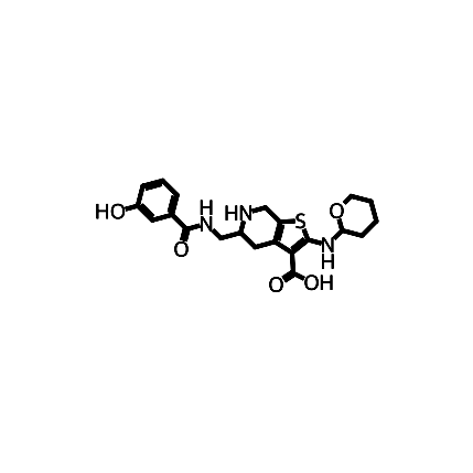 O=C(NCC1Cc2c(sc(NC3CCCCO3)c2C(=O)O)CN1)c1cccc(O)c1